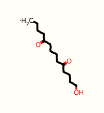 [CH2]CCCC(=O)CCCCC(=O)CCCCO